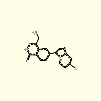 NCc1n[nH]c(=O)c2ccc(-c3cnc4cc(Cl)ccn34)cc12